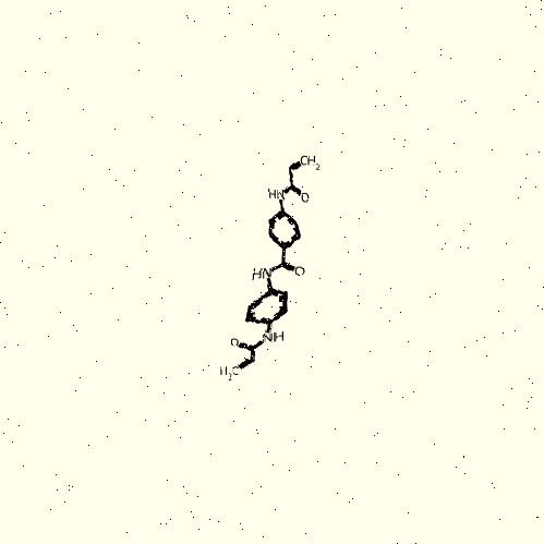 C=CC(=O)Nc1ccc(NC(=O)c2ccc(NC(=O)C=C)cc2)cc1